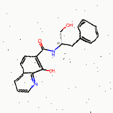 O=C(N[C@H](CO)Cc1ccccc1)c1ccc2cccnc2c1O